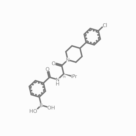 CC(C)[C@@H](NC(=O)c1cccc(B(O)O)c1)C(=O)N1CCC(c2ccc(Cl)cc2)CC1